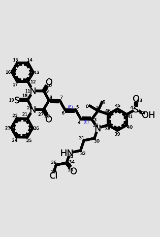 CC1(C)/C(=C\C=C\C=C2C(=O)N(c3ccccc3)C(=S)N(c3ccccc3)C2=O)N(CCCNC(=O)CCl)c2ccc(S(=O)O)cc21